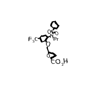 CC(C)N(c1ccc(C(F)(F)F)cc1OCc1ccc(C(=O)O)o1)S(=O)(=O)c1ccccc1